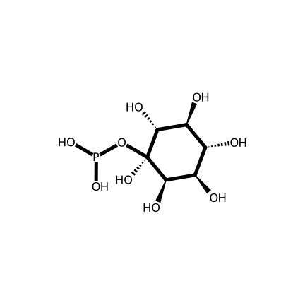 O[C@@H]1[C@@H](O)[C@@H](O)[C@@](O)(OP(O)O)[C@H](O)[C@H]1O